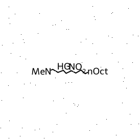 CCCCCCCCCCCCCCCCNC.O=[N+]([O-])O